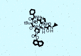 CCC[C@H](NC(=O)[C@@H]1CN(C(=O)Oc2cccc3ccccc23)C[C@@H]1NC(=O)[C@@H](NC(=O)[C@@H](NC(=O)c1cnccn1)C1CCCCC1)C(C)(C)C)C(=O)C(=O)NC1CC1